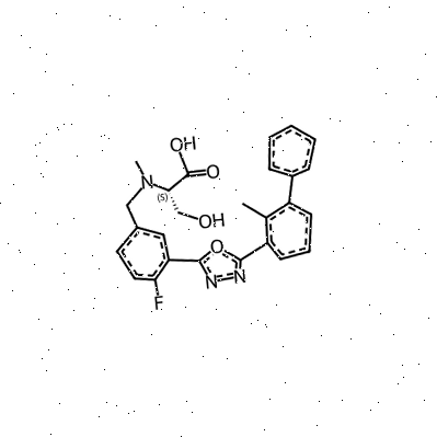 Cc1c(-c2ccccc2)cccc1-c1nnc(-c2cc(CN(C)[C@@H](CO)C(=O)O)ccc2F)o1